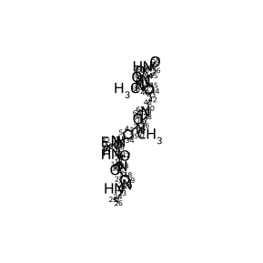 CN(Cc1ccc(-n2cc(NC(=O)c3coc(-c4ccnc(NCC5CC5)c4)n3)c(C(F)F)n2)cc1)C[C@H]1CN(CCCc2ccc3c(c2)n(C)c(=O)n3C2CCC(=O)NC2=O)CCO1